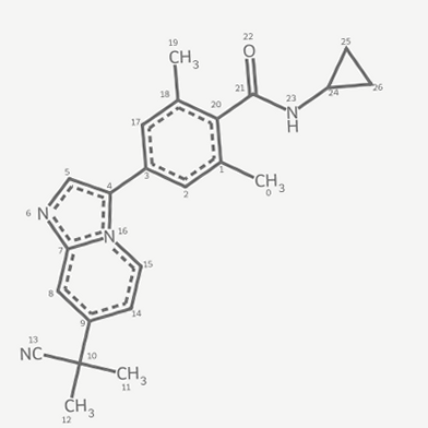 Cc1cc(-c2cnc3cc(C(C)(C)C#N)ccn23)cc(C)c1C(=O)NC1CC1